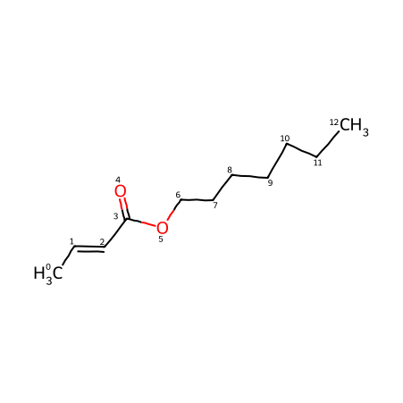 CC=CC(=O)OCCCCCCC